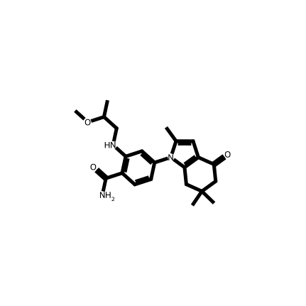 COC(C)CNc1cc(-n2c(C)cc3c2CC(C)(C)CC3=O)ccc1C(N)=O